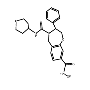 O=C(NO)c1ccc2c(c1)OCC(c1ccccc1)N(C(=O)NC1CCOCC1)C2